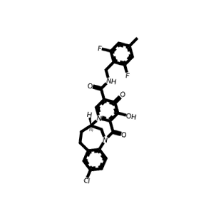 Cc1cc(F)c(CNC(=O)c2cn3c(c(O)c2=O)C(=O)N2C[C@@H]3CCc3cc(Cl)ccc32)c(F)c1